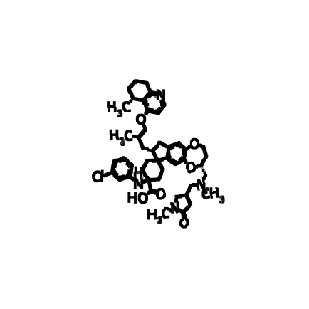 C[C@@H](COc1ccnc2c1[C@H](C)CCC2)C[C@H]1Cc2cc3c(cc2C12CCC(Nc1cccc(Cl)c1)(C(=O)O)CC2)O[C@@H](CN(C)CC1CC(=O)N(C)C1)CCO3